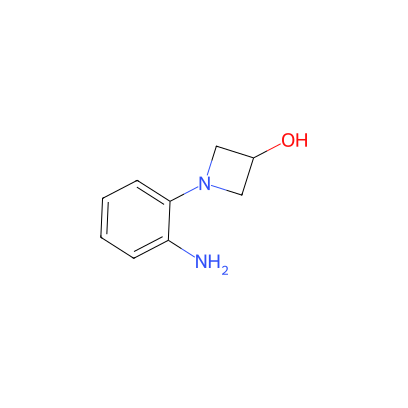 Nc1ccccc1N1CC(O)C1